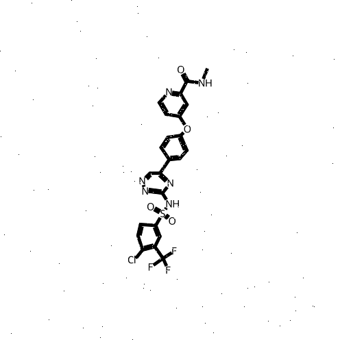 CNC(=O)c1cc(Oc2ccc(-c3cnnc(NS(=O)(=O)c4ccc(Cl)c(C(F)(F)F)c4)n3)cc2)ccn1